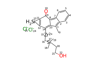 CC1=c2ccccc2=C2C(=O)C3=C([SiH2]3)[C]([Zr+2][CH2][Si](C)(C)CCO)=C12.[Cl-].[Cl-]